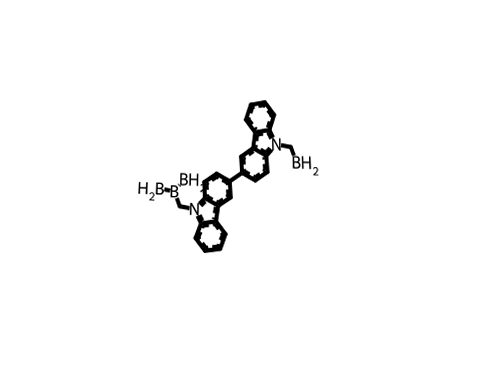 BCn1c2ccccc2c2cc(-c3ccc4c(c3)c3ccccc3n4CB(B)B)ccc21